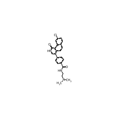 CN(C)CCNC(=O)c1ccc(-c2c[nH]c(=O)c3c2ccc2ccc(Cl)cc23)cc1